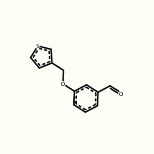 O=Cc1cccc(OCc2ccsc2)c1